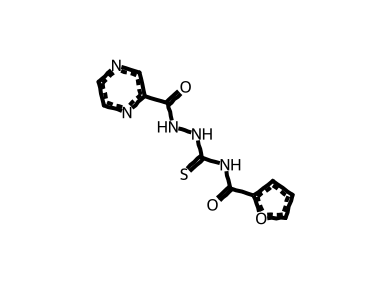 O=C(NNC(=S)NC(=O)c1ccco1)c1cnccn1